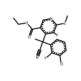 CCOC(=O)c1cnc(SC)c(F)c1C(C)(C#N)c1cccc(Cl)c1F